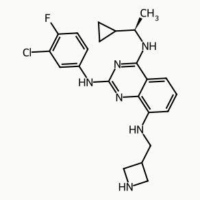 C[C@@H](Nc1nc(Nc2ccc(F)c(Cl)c2)nc2c(NCC3CNC3)cccc12)C1CC1